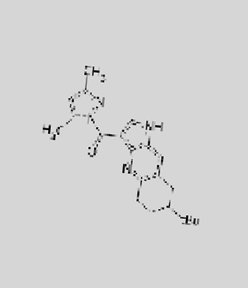 Cc1cc(C)n(C(=O)c2c[nH]c3cc4c(nc23)CCC(C(C)(C)C)C4)n1